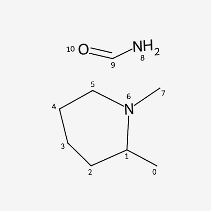 CC1CCCCN1C.NC=O